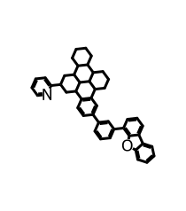 c1ccc(C2CC3c4ccc(-c5cccc(-c6cccc7c6oc6ccccc67)c5)cc4C4CCCC5C6CCCCC6C(C2)C3C45)nc1